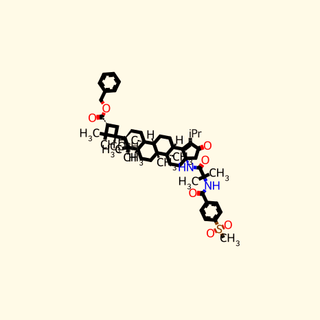 CC(C)C1=C2[C@H]3CC[C@@H]4[C@]5(C)CC[C@H]([C@@]6(C(=O)O)C[C@@H](C(=O)OCc7ccccc7)C6(C)C)C(C)(C)[C@H]5CC[C@@]4(C)[C@]3(C)CC[C@@]2(NC(=O)C(C)(C)NC(=O)c2ccc(S(C)(=O)=O)cc2)CC1=O